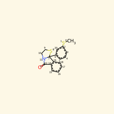 CSc1cccc(C23SCCN2C(=O)c2ccccc23)c1